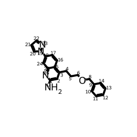 Nc1cc(CCCOCc2ccccc2)c2ccc(-n3cccn3)cc2n1